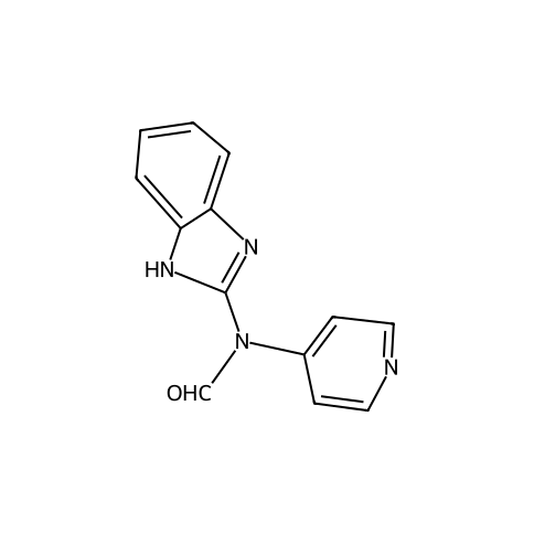 O=CN(c1ccncc1)c1nc2ccccc2[nH]1